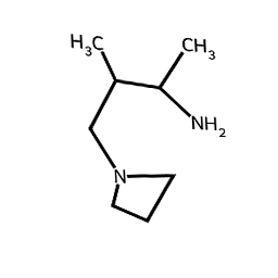 CC(N)C(C)CN1CCC1